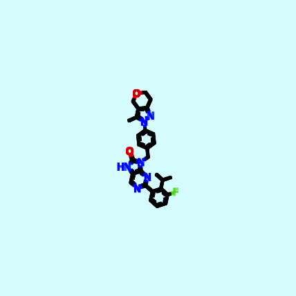 Cc1c2c(nn1-c1ccc(Cn3c(=O)[nH]c4cnc(-c5cccc(F)c5C(C)C)nc43)cc1)CCOC2